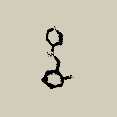 CC(C)c1ccccc1CNC1CC[N]CC1